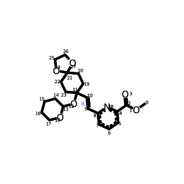 COC(=O)c1cccc(/C=C/C2(OC3CCCCO3)CCC3(CC2)OCCO3)n1